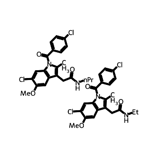 CCCNC(=O)Cc1c(C)n(C(=O)c2ccc(Cl)cc2)c2cc(Cl)c(OC)cc12.CCNC(=O)Cc1c(C)n(C(=O)c2ccc(Cl)cc2)c2cc(Cl)c(OC)cc12